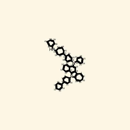 C1=Cc2c(n(-c3ccc(-c4ccccc4)cc3)c3c2cc(N(c2ccccc2)c2ccc(C4=CC=C(Nc5ccccc5)C=CC4)cc2)c2ccccc23)C=CC1